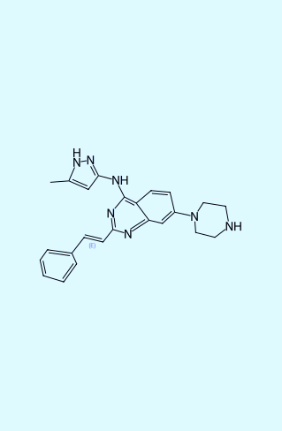 Cc1cc(Nc2nc(/C=C/c3ccccc3)nc3cc(N4CCNCC4)ccc23)n[nH]1